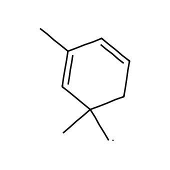 [CH2]C1(C)C=C(C)C=CC1